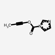 CC#COC(=O)n1ccnc1